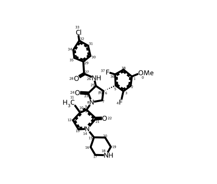 COc1cc(F)c([C@@H]2CN(c3c(C)ccn(C4CCNCC4)c3=O)C(=O)C2NC(=O)c2ccc(Cl)cc2)c(F)c1